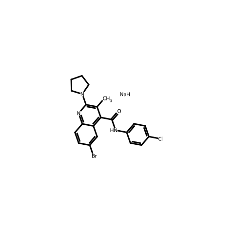 Cc1c(N2CCCC2)nc2ccc(Br)cc2c1C(=O)Nc1[c]cc(Cl)cc1.[NaH]